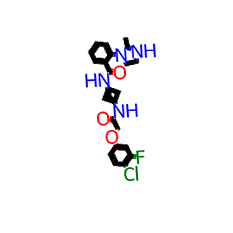 CC1NCCN1c1ccccc1C(=O)NC12CC(NC(=O)COc3ccc(Cl)c(F)c3)(C1)C2